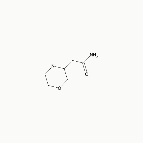 NC(=O)CC1COCC[N]1